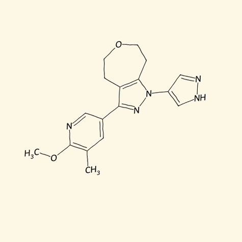 COc1ncc(-c2nn(-c3cn[nH]c3)c3c2CCOCC3)cc1C